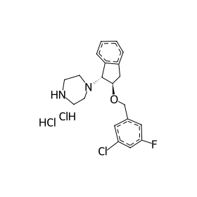 Cl.Cl.Fc1cc(Cl)cc(CO[C@@H]2Cc3ccccc3[C@H]2N2CCNCC2)c1